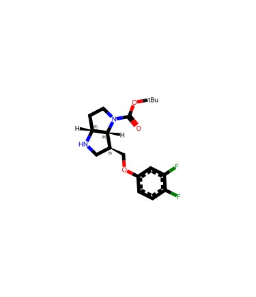 CC(C)(C)OC(=O)N1CC[C@H]2NC[C@H](COc3ccc(F)c(F)c3)[C@H]21